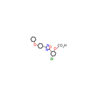 O=C(O)COc1ccc(Br)cc1-c1nc(-c2ccc(Oc3ccccc3)cc2)no1